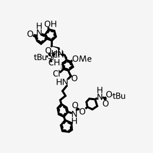 COc1cc(C(=O)NCCCCc2ccc(-c3ccccc3)c(NC(=O)OC3CCC(NC(=O)OC(C)(C)C)CC3)c2)c(Cl)cc1CNC[C@@H](O[Si](C)(C)C(C)(C)C)c1ccc(O)c2[nH]c(=O)ccc12